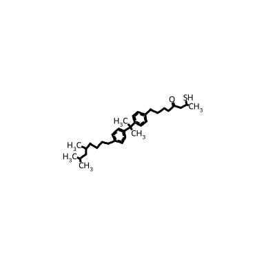 CC(C)CC(C)CCCCc1ccc(C(C)(C)c2ccc(CCCCC(=O)CC(C)S)cc2)cc1